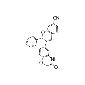 N#Cc1ccc2c(c1)OC(c1ccccc1)C(c1ccc3c(c1)NC(=O)CO3)=C2